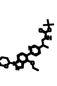 CCOc1c(-c2ccc(C(C)CNC(=O)OC(C)(C)C)cn2)ccc2c1cnn2C1CCCCO1